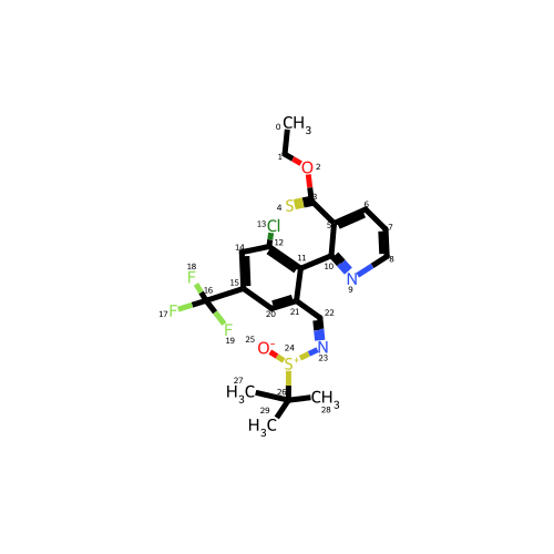 CCOC(=S)c1cccnc1-c1c(Cl)cc(C(F)(F)F)cc1/C=N\[S+]([O-])C(C)(C)C